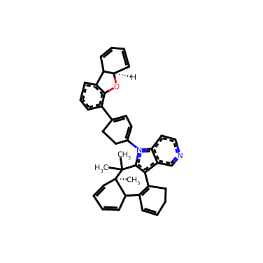 CC1(C)c2c(c3cnccc3n2C2=CC=C(c3cccc4c3O[C@@H]3C=CC=CC43)CC2)C2=C(C=CCC2)C2C=CC=C[C@]21C